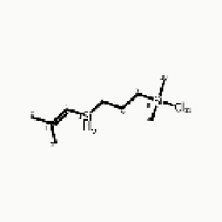 CC(C)=C[SiH2]CCC[Si](C)(C)Cl